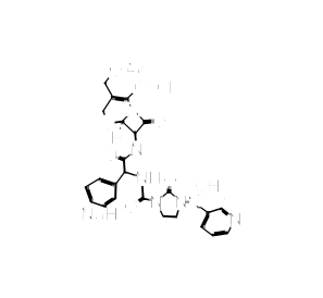 C=[N+](c1cccnc1)N1CCN(C(=O)NC(C(=O)NC2C(=O)N3C(C(=O)O)=C(COC(C)=O)CS[C@@H]23)c2ccccc2)C1=O.[NaH]